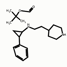 CC(C)(C)OC=O.c1ccc(C2CC2NCCC2CCNCC2)cc1